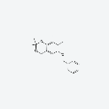 Cc1c(OCc2ccccc2)cc2c(c1C)OC(C)(C)OC2